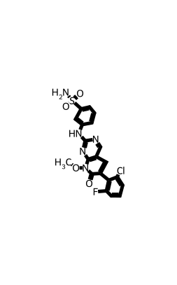 COn1c(=O)c(-c2c(F)cccc2Cl)cc2cnc(Nc3cccc(S(N)(=O)=O)c3)nc21